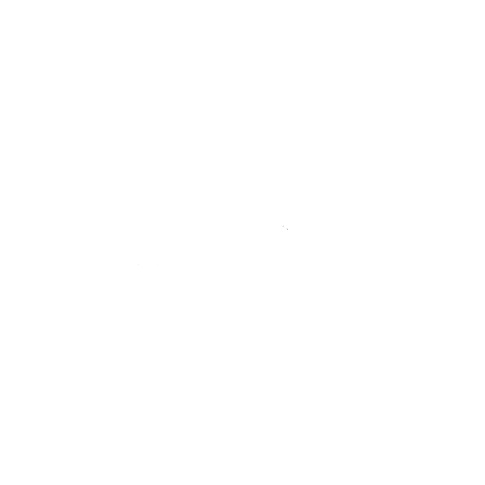 O=C1OCc2cc(OCC3CCCN3Cc3ccccc3)ccc21